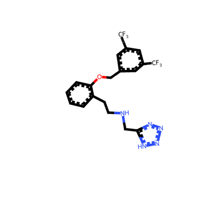 FC(F)(F)c1cc(COc2ccccc2CCNCc2nnn[nH]2)cc(C(F)(F)F)c1